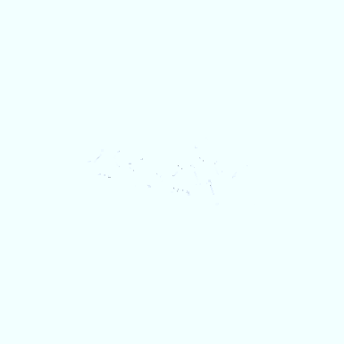 CCOC(=O)c1cn(CC)c2nc(N3CCN(c4ccccc4)CC3)ncc2c1=O